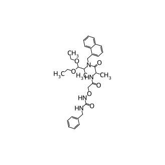 CCOC(OCC)C(C)N(Cc1cccc2ccccc12)C(=O)C(C)NC(=O)CONC(=O)NCc1ccccc1